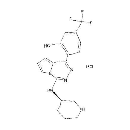 Cl.Oc1cc(C(F)(F)F)ccc1-c1nnc(N[C@@H]2CCCNC2)n2cccc12